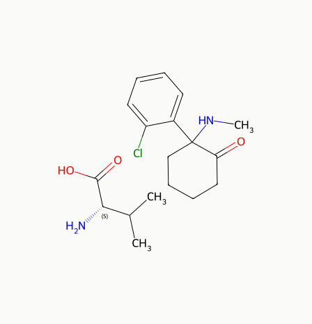 CC(C)[C@H](N)C(=O)O.CNC1(c2ccccc2Cl)CCCCC1=O